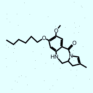 CCCCCCOc1cc2c(cc1OC)C(=O)N1C=C(C)CC1CN2